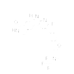 Nc1nc(F)c(-c2ccc(OC3CCN(CC(F)(F)F)CC3)cc2)cc1-c1ccc2c(c1)CCNC2=O